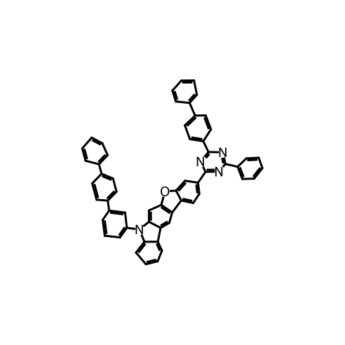 c1ccc(-c2ccc(-c3cccc(-n4c5ccccc5c5cc6c(cc54)oc4cc(-c5nc(-c7ccccc7)nc(-c7ccc(-c8ccccc8)cc7)n5)ccc46)c3)cc2)cc1